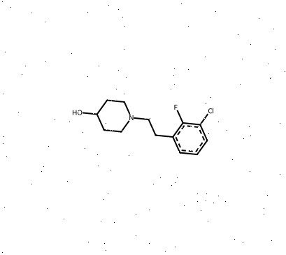 OC1CCN(CCc2cccc(Cl)c2F)CC1